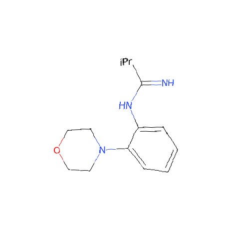 CC(C)C(=N)Nc1ccccc1N1CCOCC1